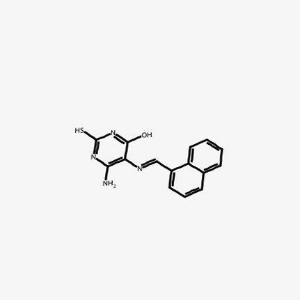 Nc1nc(S)nc(O)c1N=Cc1cccc2ccccc12